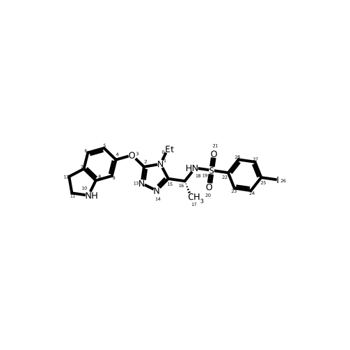 CCn1c(Oc2ccc3c(c2)NCC3)nnc1[C@@H](C)NS(=O)(=O)c1ccc(I)cc1